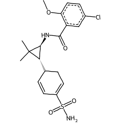 COc1ccc(Cl)cc1C(=O)N[C@H]1[C@H](C2C=CC(S(N)(=O)=O)=CC2)C1(C)C